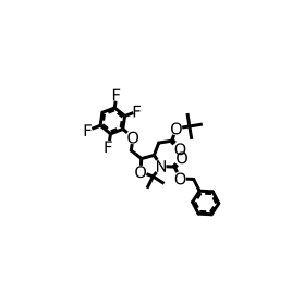 CC(C)(C)OC(=O)CC1C(COc2c(F)c(F)cc(F)c2F)OC(C)(C)N1C(=O)OCc1ccccc1